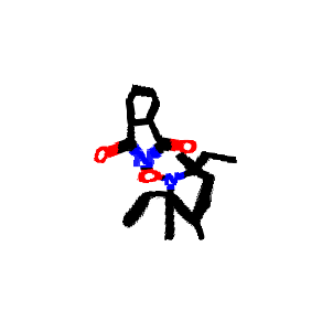 CCC1(C)CCC(C)C(C)(CC)N1ON1C(=O)c2ccccc2C1=O